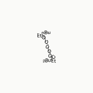 CCCCC(=COCCOCCOCCOCCOC(=O)C(CC)CCCC)CC